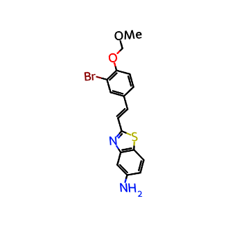 COCOc1ccc(C=Cc2nc3cc(N)ccc3s2)cc1Br